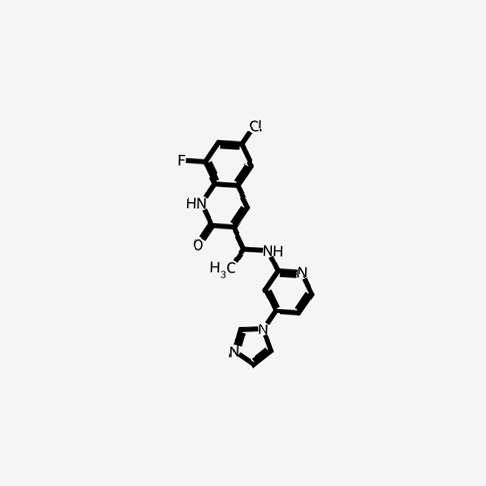 CC(Nc1cc(-n2ccnc2)ccn1)c1cc2cc(Cl)cc(F)c2[nH]c1=O